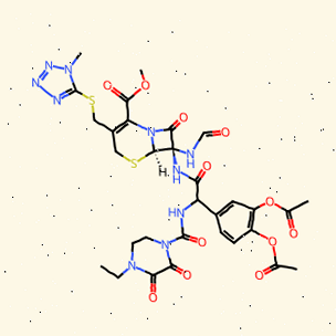 CCN1CCN(C(=O)NC(C(=O)N[C@]2(NC=O)C(=O)N3C(C(=O)OC)=C(CSc4nnnn4C)CS[C@@H]32)c2ccc(OC(C)=O)c(OC(C)=O)c2)C(=O)C1=O